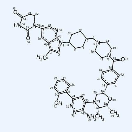 Cc1cn(C2CCC(CN3CCN(C(=O)c4ccc([C@H]5CN(c6cc(-c7ccccc7O)nnc6N)[C@@H](C)[C@@H](C)O5)cc4)CC3)CC2)c2ncc(N3CCC(=O)NC3=O)cc12